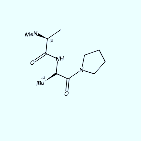 CC[C@H](C)C(NC(=O)[C@H](C)NC)C(=O)N1CCCC1